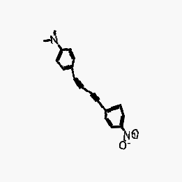 CN(C)c1ccc(C#CC#Cc2ccc([N+](=O)[O-])cc2)cc1